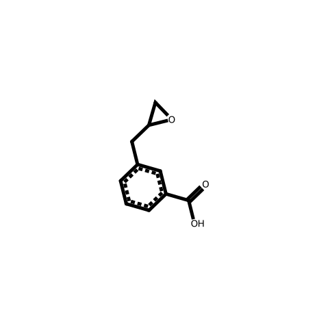 O=C(O)c1cccc(CC2CO2)c1